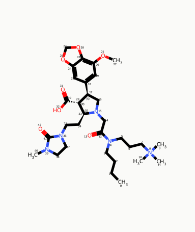 CCCCN(CCC[N+](C)(C)C)C(=O)CN1C[C@H](c2cc(OC)c3c(c2)OCO3)[C@@H](C(=O)O)[C@@H]1CCN1CCN(C)C1=O